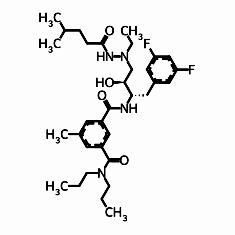 CCCN(CCC)C(=O)c1cc(C)cc(C(=O)N[C@@H](Cc2cc(F)cc(F)c2)[C@@H](O)CN(CC)NC(=O)CCC(C)C)c1